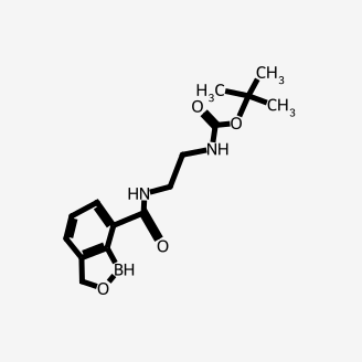 CC(C)(C)OC(=O)NCCNC(=O)c1cccc2c1BOC2